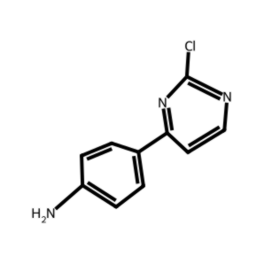 Nc1ccc(-c2ccnc(Cl)n2)cc1